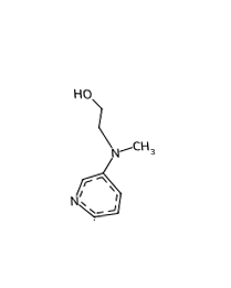 CN(CCO)c1cc[c]nc1